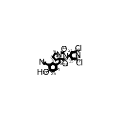 N#Cc1cc(CC23CCCN2C(=O)N(c2cc(Cl)nc(Cl)c2)C3=O)ccc1O